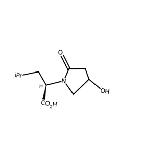 CC(C)C[C@H](C(=O)O)N1CC(O)CC1=O